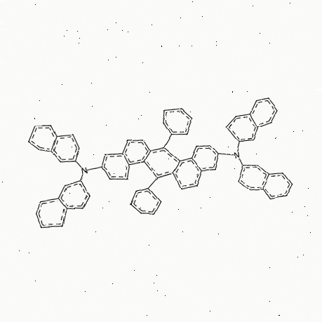 c1ccc(-c2c3ccc4cc(N(c5ccc6ccccc6c5)c5ccc6ccccc6c5)ccc4c3c(-c3ccccc3)c3ccc4cc(N(c5ccc6ccccc6c5)c5ccc6ccccc6c5)ccc4c23)cc1